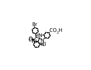 NC(=O)C(c1ccc(Br)cc1)C1(c2c(Cl)cccc2Cl)Nc2ccc(C(=O)O)cc2N1